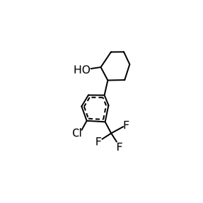 OC1CCCCC1c1ccc(Cl)c(C(F)(F)F)c1